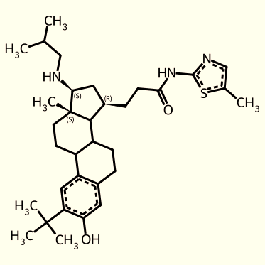 Cc1cnc(NC(=O)CC[C@@H]2C[C@H](NCC(C)C)[C@@]3(C)CCC4c5cc(C(C)(C)C)c(O)cc5CCC4C23)s1